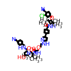 CC(C)(C)[C@H](NC(=O)COCCNc1ccc(-c2ccc(C(=O)N[C@H]3C(C)(C)[C@H](Oc4ccc(C#N)c(Cl)c4)C3(C)C)cc2)cn1)C(=O)N1C[C@H](O)C[C@H]1C(=O)NCc1ccc(C#N)cc1